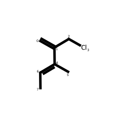 C=C(CCl)C(C)=CC